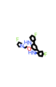 Fc1ccc2[nH]c3c(OCCN4CC[C@@H](F)C4)c4[nH]c5ccc(F)cc5c4cc3c2c1